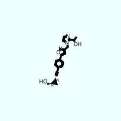 CC(O)c1nccn1Cc1cc(-c2ccc(C#C[C@@H]3C[C@H]3CO)cc2)on1